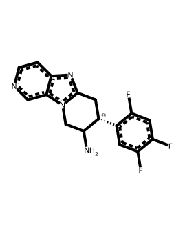 NC1Cn2c(nc3ccncc32)C[C@@H]1c1cc(F)c(F)cc1F